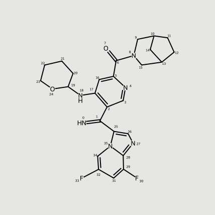 N=C(c1cnc(C(=O)N2CC3CCC(C3)C2)cc1NC1CCCCO1)c1cnc2c(F)cc(F)cn12